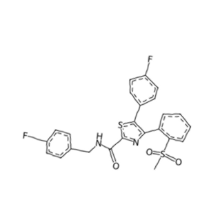 CS(=O)(=O)c1ccccc1-c1nc(C(=O)NCc2ccc(F)cc2)sc1-c1ccc(F)cc1